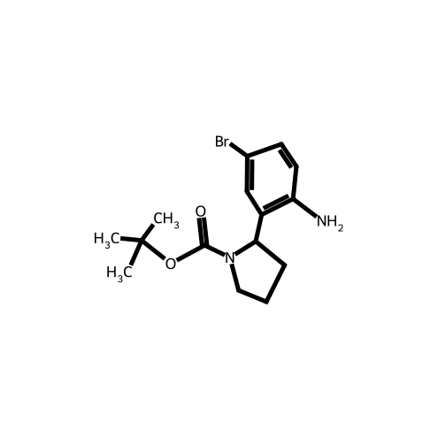 CC(C)(C)OC(=O)N1CCCC1c1cc(Br)ccc1N